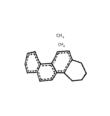 C.C.c1ccc2c(c1)ccc1c3c(ccc12)CCCC3